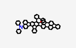 c1ccc(-c2ccccc2-c2c3cc4c5cccc6c(N(c7ccccc7)c7ccccc7)ccc(c65)c4c4c5ccccc5c(c5c6ccc7c8ccc9c%10c(ccc(c%11ccc(c25)c6c%117)c%108)-c2ccccc2-9)c34)cc1